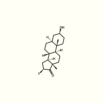 C[C@]12CC[C@H](O)C[C@@H]1CC[C@@H]1[C@@H]2CC[C@]2(C)C(=O)[C@@H](F)C[C@@H]12